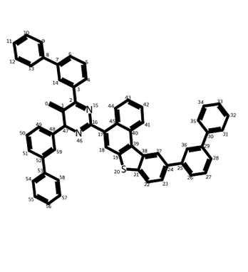 C=C1C(c2cccc(-c3ccccc3)c2)=NC(c2cc3sc4ccc(-c5cccc(-c6ccccc6)c5)cc4c3c3ccccc23)=NC1c1cccc(-c2ccccc2)c1